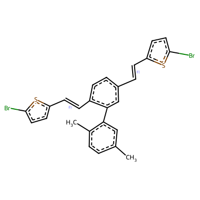 Cc1ccc(C)c(-c2cc(/C=C/c3ccc(Br)s3)ccc2/C=C/c2ccc(Br)s2)c1